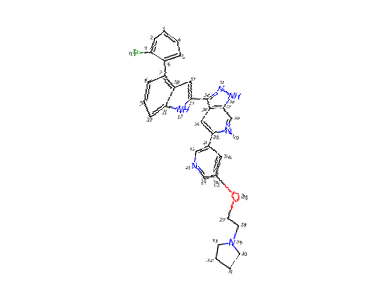 Fc1ccccc1-c1cccc2[nH]c(-c3n[nH]c4cnc(-c5cncc(OCCN6CCCC6)c5)cc34)cc12